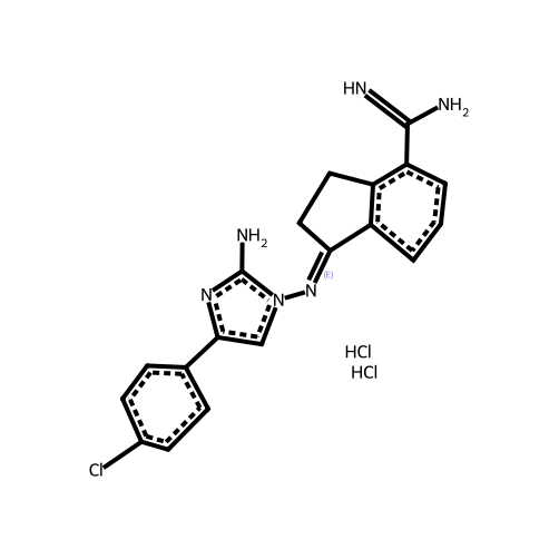 Cl.Cl.N=C(N)c1cccc2c1CC/C2=N\n1cc(-c2ccc(Cl)cc2)nc1N